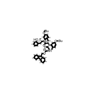 CC(C)(C)Oc1ccc(C[C@H](NC(=O)OCC2c3ccccc3-c3ccccc32)C(=O)N[C@@H](Cc2ccc(OC(C)(C)C)cc2)C(=O)N[C@H](Cc2ccccc2)C(=O)O)cc1